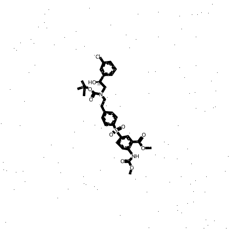 COC(=O)Nc1ccc(S(=O)(=O)c2ccc(CCN(C[C@@H](O)c3cccc(Cl)c3)C(=O)OC(C)(C)C)cc2)cc1C(=O)OC